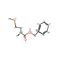 CSCC[C@H](C)C(=O)OCc1ccccc1